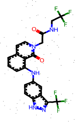 O=C(Cn1ccc2cccc(Nc3ccc4[nH]nc(C(F)(F)F)c4c3)c2c1=O)NCC(F)(F)F